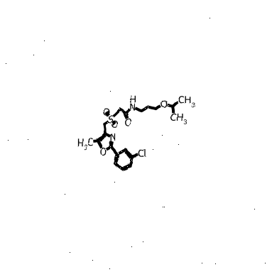 Cc1oc(-c2cccc(Cl)c2)nc1CS(=O)(=O)CC(=O)NCCCOC(C)C